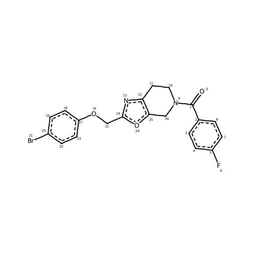 O=C(c1ccc(F)cc1)N1CCc2nc(COc3ccc(Br)cc3)oc2C1